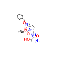 CC(O)C(NCC1CCC2(CN(OCc3ccccc3)C2=O)N1C(=O)OC(C)(C)C)C(=O)N(C)C